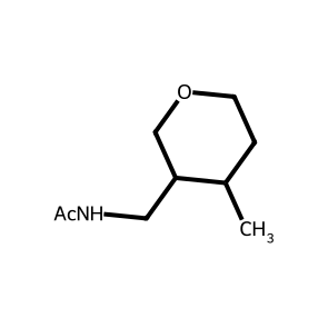 CC(=O)NCC1COCCC1C